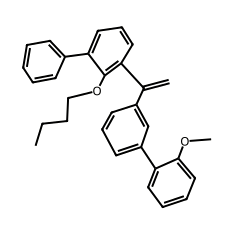 C=C(c1cccc(-c2ccccc2OC)c1)c1cccc(-c2ccccc2)c1OCCCC